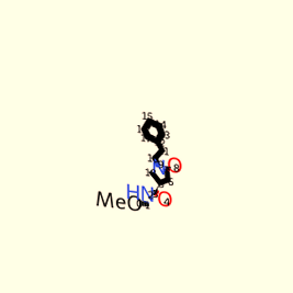 COCNC(=O)[C@H]1CC(=O)N(CCc2ccccc2)C1